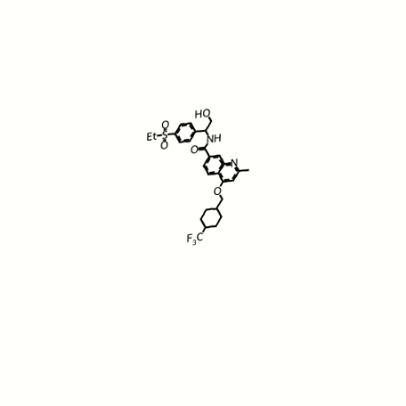 CCS(=O)(=O)c1ccc(C(CO)NC(=O)c2ccc3c(OCC4CCC(C(F)(F)F)CC4)cc(C)nc3c2)cc1